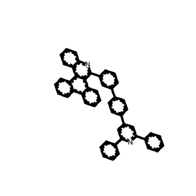 c1ccc(-c2cc(-c3ccc(-c4cccc(-c5nc6ccccc6c6c7ccccc7c7ccccc7c56)c4)cc3)cc(-c3ccccc3)n2)cc1